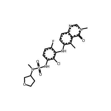 Cc1c(Nc2c(F)ccc(NS(=O)(=O)N(C)C3CCOC3)c2Cl)ccc2ncn(C)c(=O)c12